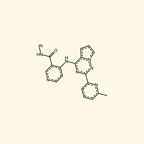 Cc1cccc(-c2nc(Nc3ccncc3C(=O)NC(C)C)c3cccn3n2)n1